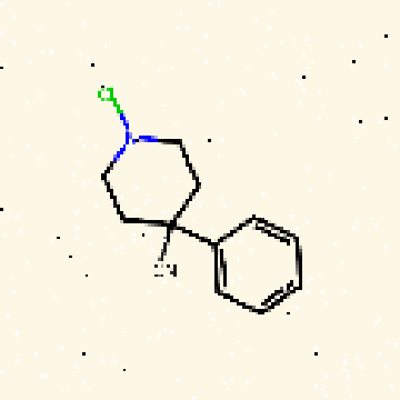 N#CC1(c2ccccc2)CCN(Cl)CC1